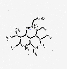 O=CC/N=P/P(P(P(P)P)P(P)P)P(P(P)PP)P(P(P)P)P(P)P